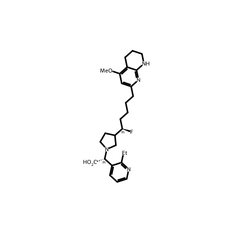 CCc1ncccc1[C@H](C(=O)O)N1CCC([C@H](F)CCCCc2cc(OC)c3c(n2)NCCC3)C1